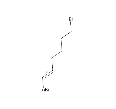 CCCC/C=C/CCCCBr